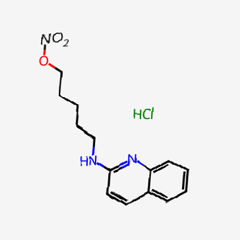 Cl.O=[N+]([O-])OCCCCCNc1ccc2ccccc2n1